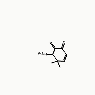 C=C1C(=O)C=CC(C)(C)C1NC(C)=O